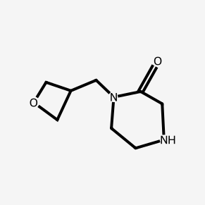 O=C1CNCCN1CC1COC1